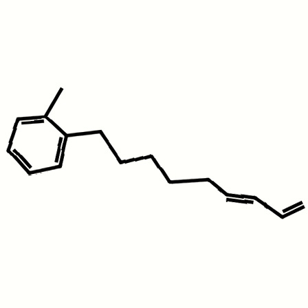 C=CC=CCCCCCc1ccccc1C